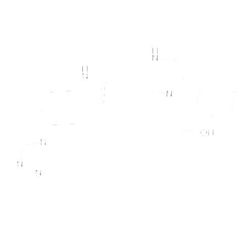 OCC(CCCc1c[nH]c2ccc(-n3cnnc3)cc12)(c1ccccc1)N1CCNCC1